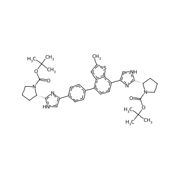 Cc1cc2c(-c3ccc(-c4c[nH]c([C@@H]5CCCN5C(=O)OC(C)(C)C)n4)cc3)ccc(-c3c[nH]c([C@@H]4CCCN4C(=O)OC(C)(C)C)n3)c2s1